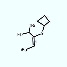 CCC(C)/C=C(/SC1CCC1)C(CC)C(C)(C)C